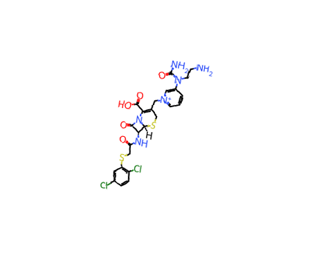 NCCN(C(N)=O)c1ccc[n+](CC2=C(C(=O)O)N3C(=O)[C@H](NC(=O)CSc4cc(Cl)ccc4Cl)[C@H]3SC2)c1